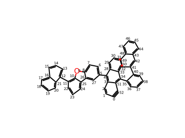 c1ccc2c(-c3ccc4oc5c(-c6cccc7ccccc67)cccc5c4c3)c3ccccc3c(-c3ccccc3C3=Cc4ccccc4CC3)c2c#1